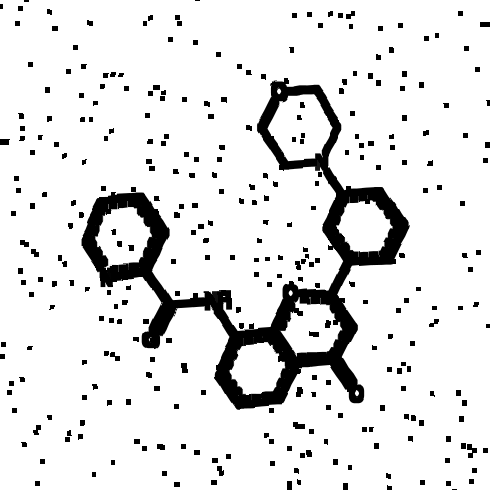 O=C(Nc1cccc2c(=O)cc(-c3cccc(N4CCOCC4)c3)oc12)c1ccccn1